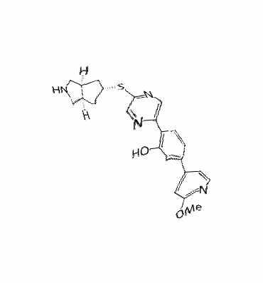 COc1cc(-c2ccc(-c3cnc(S[C@@H]4C[C@H]5CNC[C@H]5C4)cn3)c(O)c2)ccn1